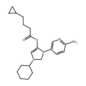 Nc1ccc(N2CN(C3CCCCC3)C=C2OC(=O)CCCC2CC2)cn1